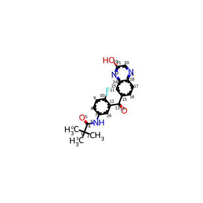 CC(C)(C)C(=O)Nc1ccc(F)c(C(=O)c2ccc3ncc(O)nc3c2)c1